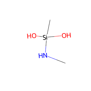 CN[Si](C)(O)O